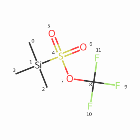 C[Si](C)(C)S(=O)(=O)OC(F)(F)F